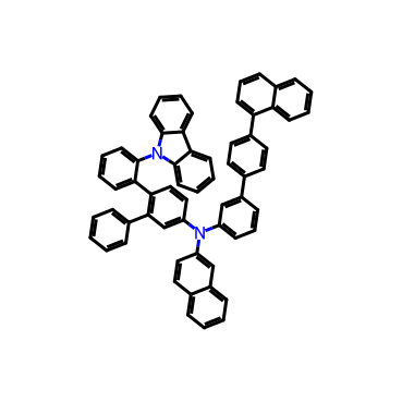 c1ccc(-c2cc(N(c3cccc(-c4ccc(-c5cccc6ccccc56)cc4)c3)c3ccc4ccccc4c3)ccc2-c2ccccc2-n2c3ccccc3c3ccccc32)cc1